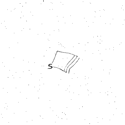 C1#CSC1